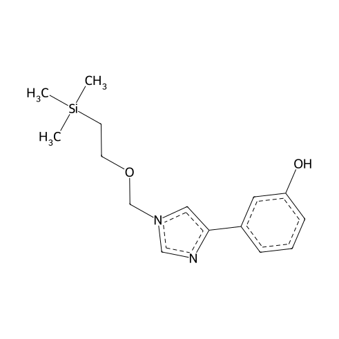 C[Si](C)(C)CCOCn1cnc(-c2cccc(O)c2)c1